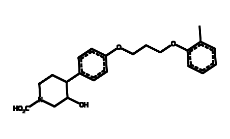 Cc1ccccc1OCCCOc1ccc(C2CCN(C(=O)O)CC2O)cc1